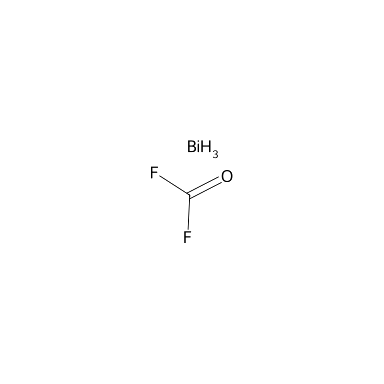 O=C(F)F.[BiH3]